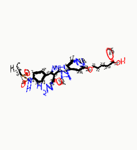 CCS(=O)(=O)Nc1ccc(-c2n[nH]c(Nc3ccnc(OCCCCC(=O)O)c3)c2C(N)=O)cc1